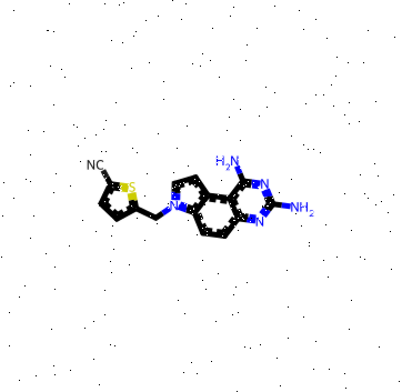 N#Cc1ccc(Cn2ccc3c4c(N)nc(N)nc4ccc32)s1